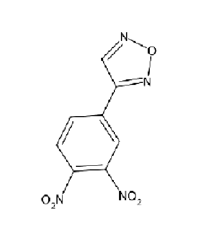 O=[N+]([O-])c1ccc(-c2cnon2)cc1[N+](=O)[O-]